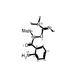 C/N=C(\ON(NC)C(=O)c1ccccc1N)N(C)C